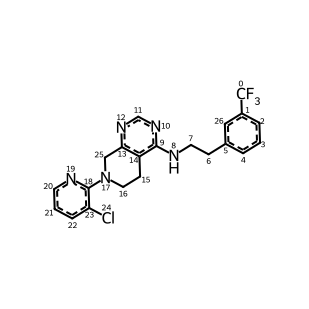 FC(F)(F)c1cccc(CCNc2ncnc3c2CCN(c2ncccc2Cl)C3)c1